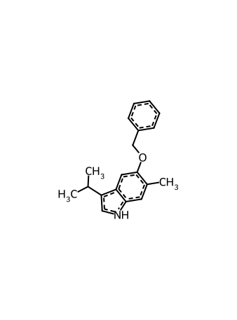 Cc1cc2[nH]cc(C(C)C)c2cc1OCc1ccccc1